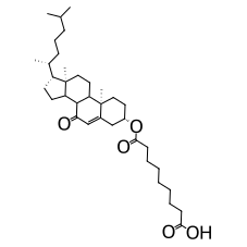 CC(C)CCC[C@@H](C)[C@H]1CCC2C3C(=O)C=C4C[C@@H](OC(=O)CCCCCCCC(=O)O)CC[C@]4(C)C3CC[C@@]21C